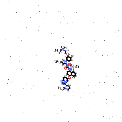 CN(C)CCOc1cc(-n2nc(C(C)(C)C)cc2N(OC=O)C(=O)N[C@H]2CC[C@@H](Oc3ccc4nnc([C@@H]5CCCN5C)n4c3)c3ccccc32)ccc1Cl